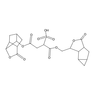 O=C(CC(C(=O)OCC1OC(=O)C2CC3CC3C12)S(=O)(=O)O)OC1C2CC3C(=O)OC1C3C2